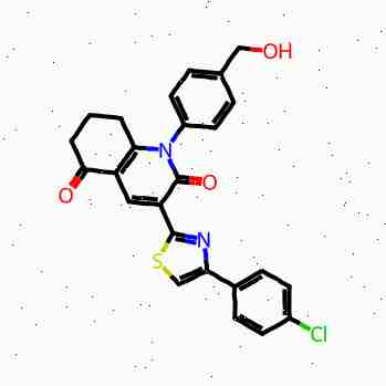 O=C1CCCc2c1cc(-c1nc(-c3ccc(Cl)cc3)cs1)c(=O)n2-c1ccc(CO)cc1